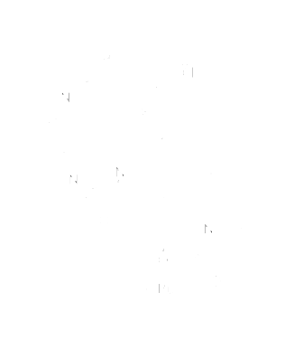 Cn1c(=O)n(-c2ccc3c(c2)N(C(=O)OC(C)(C)C)CC3)c2c3cc(Cl)ccc3ncc21